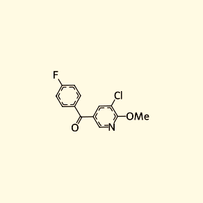 COc1ncc(C(=O)c2ccc(F)cc2)cc1Cl